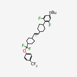 CCCCc1cc(F)c(C2CCC(/C=C/C3CCC(C(F)(F)Oc4ccc(C(F)(F)F)cc4)CC3)CC2)c(F)c1